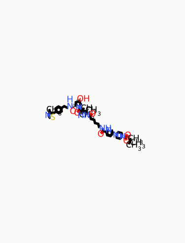 Cc1ncsc1-c1ccc(CCNC(=O)[C@@H]2C[C@@H](O)CN2C(=O)C(C)(C)[C@H](C)NC(=O)CCCCCNC(=O)c2ccc(N3CCN(C(=O)OC(C)(C)C)CC3)cn2)cc1